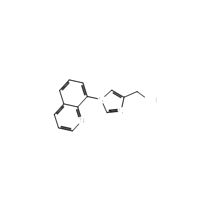 OCc1cn(-c2cccc3cccnc23)cn1